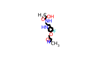 Cc1cc(COc2cc3[nH]c(CNC(=O)[C@@H](C)O)cc3cc2F)on1